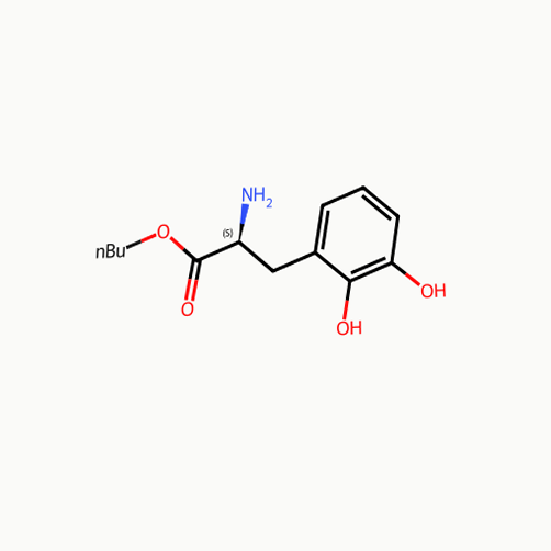 CCCCOC(=O)[C@@H](N)Cc1cccc(O)c1O